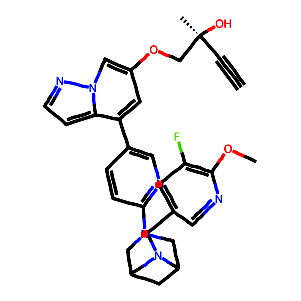 C#C[C@](C)(O)COc1cc(-c2ccc(N3CC4CC(C3)N4Cc3cnc(OC)c(F)c3)nc2)c2ccnn2c1